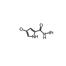 CC(C)NC(=O)c1cc([O])c[nH]1